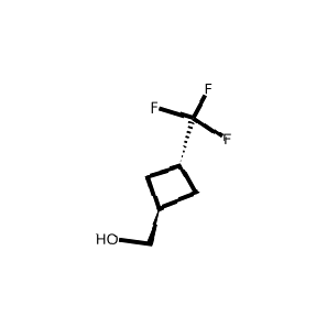 OC[C@H]1C[C@H](C(F)(F)F)C1